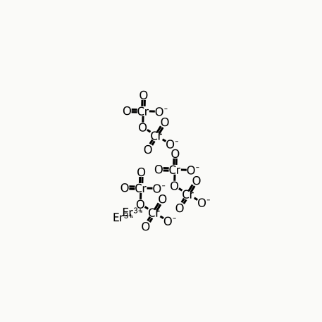 [Er+3].[Er+3].[O]=[Cr](=[O])([O-])[O][Cr](=[O])(=[O])[O-].[O]=[Cr](=[O])([O-])[O][Cr](=[O])(=[O])[O-].[O]=[Cr](=[O])([O-])[O][Cr](=[O])(=[O])[O-]